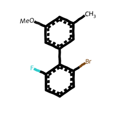 COc1cc(C)cc(-c2c(F)cccc2Br)c1